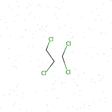 ClCCCl.ClCCl